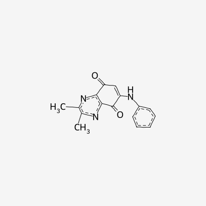 Cc1nc2c(nc1C)C(=O)C(Nc1ccccc1)=CC2=O